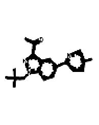 CC(=O)c1nn(CC(C)(C)C)c2ccc(-c3ccc(C)cn3)cc12